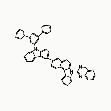 c1ccc(-c2cc(-c3ccccc3)cc(-n3c4ccccc4c4cc(-c5ccc6c(ccc7c6c6ccccc6n7-c6ncc7ccccc7n6)c5)ccc43)c2)cc1